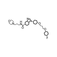 O=C(NCCCN1CCOCC1)c1ccc2c(c1)ncn2-c1ccc(OCCCOc2ccc(F)cc2)cc1